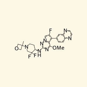 COc1nc(N[C@@H]2CCN(C3(C)COC3)CC2(F)F)nn2cc(F)c(-c3ccc4nccnc4c3)c12